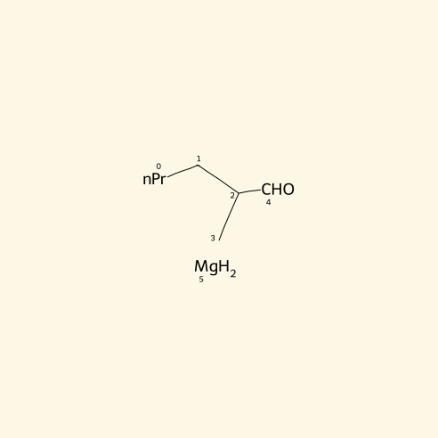 CCCCC(C)C=O.[MgH2]